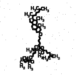 CC(C)CCC[C@@H](C)[C@H]1CCC2C3CC=C4C[C@@H](OCCCCCC(OC(=O)CCCN(C)C)C(C)C(C)(N)/C=C/COC(=O)C(C)(C)CC(C)C)CC[C@]4(C)C3C[C@@H](C)C21